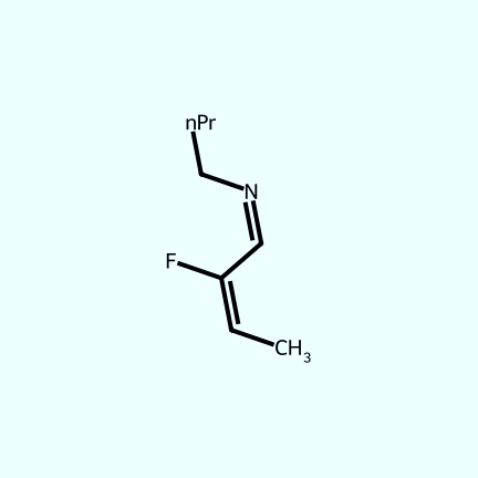 C/C=C(F)\C=N/CCCC